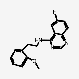 COc1ccccc1CCNc1ncnc2ccc(F)cc12